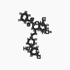 CN(CC(CCN1CCC(O)(c2ccc(Cl)cc2)CC1)c1cccc(Cl)c1)S(=O)(=O)c1ccccc1.Cl